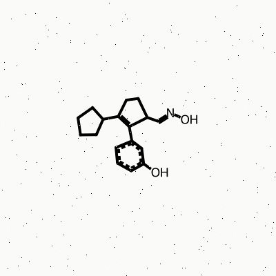 ON=CC1CCC(C2CCCC2)=C1c1cccc(O)c1